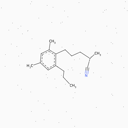 CCCc1cc(C)cc(C)c1CCCC(C)C#N